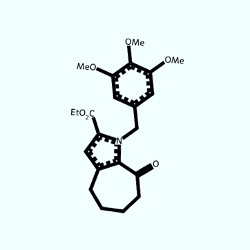 CCOC(=O)c1cc2c(n1Cc1cc(OC)c(OC)c(OC)c1)C(=O)CCCC2